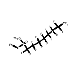 CCOP(=O)(OC)C(F)(F)C(F)(F)C(F)(F)C(F)(F)C(F)(F)C(F)(F)C(F)(F)C(F)(F)F